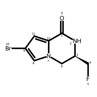 O=C1N[C@@H](CF)Cn2cc(Br)cc21